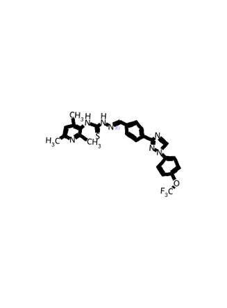 Cc1cc(C)c(NC(=S)N/N=C/c2ccc(-c3ncn(-c4ccc(OC(F)(F)F)cc4)n3)cc2)c(C)n1